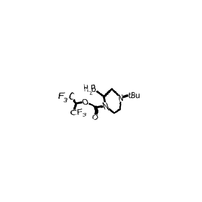 BC1CN(C(C)(C)C)CCN1C(=O)OC(C(F)(F)F)C(F)(F)F